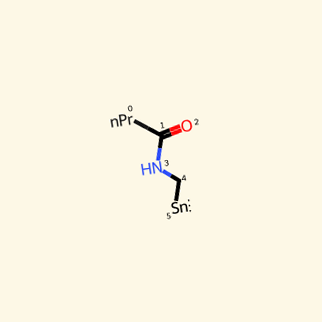 CCCC(=O)N[CH2][Sn]